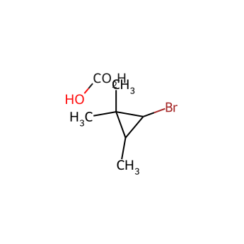 CC1C(Br)C1(C)C.O=C(O)O